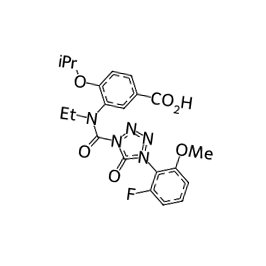 CCN(C(=O)n1nnn(-c2c(F)cccc2OC)c1=O)c1cc(C(=O)O)ccc1OC(C)C